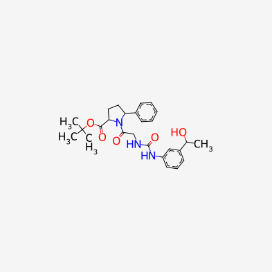 CC(O)c1cccc(NC(=O)NCC(=O)N2C(C(=O)OC(C)(C)C)CCC2c2ccccc2)c1